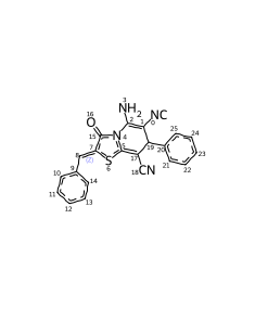 [C-]#[N+]C1=C(N)n2c(s/c(=C\c3ccccc3)c2=O)=C(C#N)C1c1ccccc1